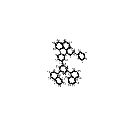 c1ccc(-c2cc(-c3cccc(-c4cc(-c5cccc6ccccc56)nc(-c5cccc6ccccc56)n4)c3)c3c(ccc4ccccc43)n2)cc1